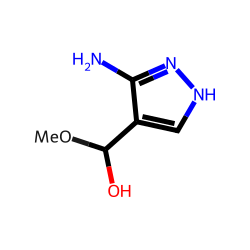 COC(O)c1c[nH]nc1N